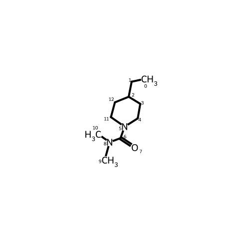 CCC1CCN(C(=O)N(C)C)CC1